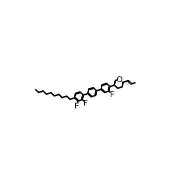 C/C=C/C1CCC(c2ccc(-c3ccc(-c4ccc(CCCCCCCCCC)c(F)c4F)cc3)cc2F)CO1